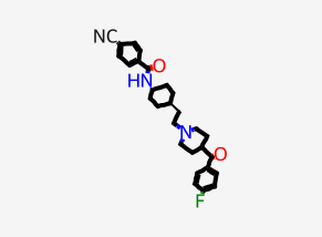 N#Cc1ccc(C(=O)N[C@H]2CC[C@H](CCN3CCC(C(=O)c4ccc(F)cc4)CC3)CC2)cc1